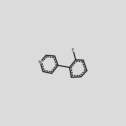 Fc1ccc[c]c1-c1ccncc1